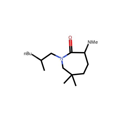 CCCCC(C)CN1CC(C)(C)CCC(NC)C1=O